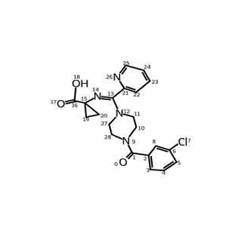 O=C(c1cccc(Cl)c1)N1CCN(C(=NC2(C(=O)O)CC2)c2ccccn2)CC1